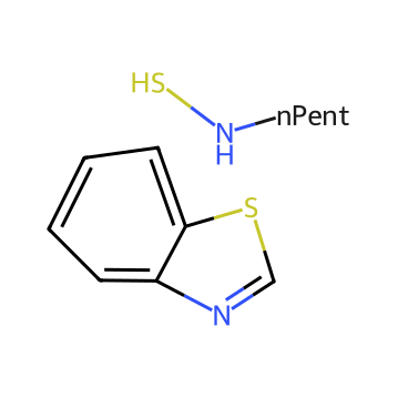 CCCCCNS.c1ccc2scnc2c1